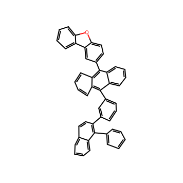 c1ccc(-c2c(-c3cccc(-c4c5ccccc5c(-c5ccc6oc7ccccc7c6c5)c5ccccc45)c3)ccc3ccccc23)cc1